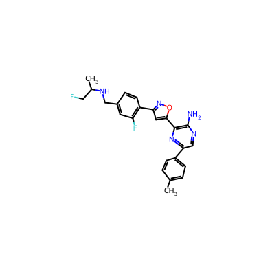 Cc1ccc(-c2cnc(N)c(-c3cc(-c4ccc(CNC(C)CF)cc4F)no3)n2)cc1